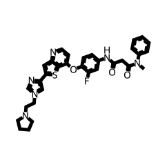 CN(C(=O)CC(=O)Nc1ccc(Oc2ccnc3cc(-c4cn(CCN5CCCC5)cn4)sc23)c(F)c1)c1ccccc1